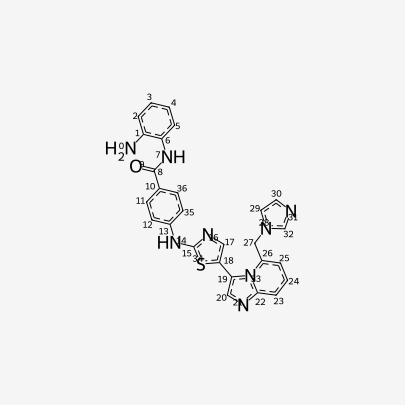 Nc1ccccc1NC(=O)c1ccc(Nc2ncc(-c3cnc4cccc(Cn5ccnc5)n34)s2)cc1